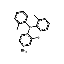 B.Cc1ccccc1P(c1ccccc1C)c1ccccc1Br